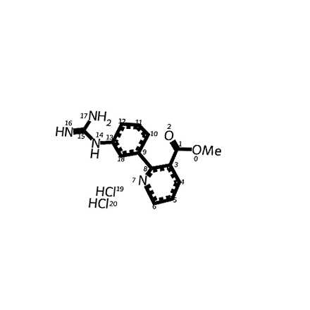 COC(=O)c1cccnc1-c1cccc(NC(=N)N)c1.Cl.Cl